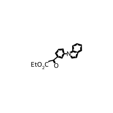 CCOC(=O)CC(=O)c1cccc(-n2ccc3ccccc32)c1